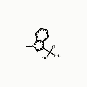 Cn1cc(C(N)(O)Cl)c2ccccc21